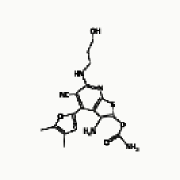 Cc1cc(-c2c(C#N)c(NCCCO)nc3sc(OC(N)=O)c(N)c23)oc1C